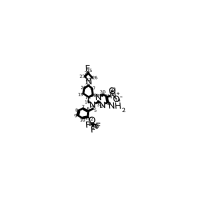 Nc1nc(N(Cc2ccccc2OC(F)(F)F)C[C@H]2CC[C@H](N3CC(F)C3)CC2)ncc1[N+](=O)[O-]